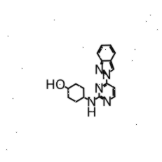 OC1CCC(Nc2nccc(-n3cc4ccccc4n3)n2)CC1